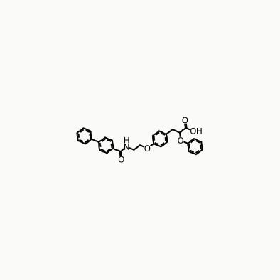 O=C(NCCOc1ccc(CC(Oc2ccccc2)C(=O)O)cc1)c1ccc(-c2ccccc2)cc1